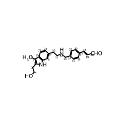 Cc1c(CCO)[nH]c2cc(CCNCc3ccc(/C=C/C=O)cc3)ccc12